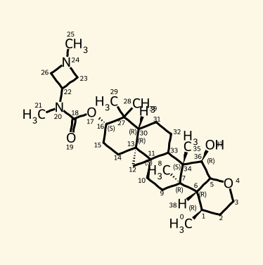 C[C@@H]1CCOC2[C@H]1[C@@]1(C)CC[C@@]34C[C@@]35CC[C@H](OC(=O)N(C)C3CN(C)C3)C(C)(C)[C@@H]5CCC4[C@]1(C)[C@H]2O